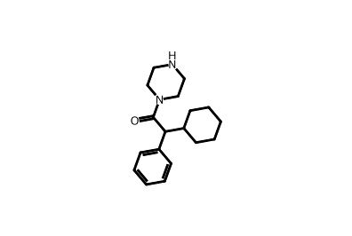 O=C(C(c1ccccc1)C1CCCCC1)N1CCNCC1